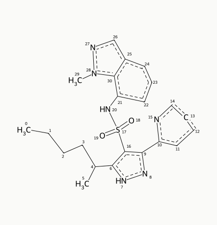 CCCCC(C)c1[nH]nc(-c2ccccn2)c1S(=O)(=O)Nc1cccc2cnn(C)c12